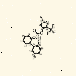 Cn1cc(OC(=O)Nc2ccccc2-c2cc(F)ccc2Cl)c(C(F)(F)F)n1